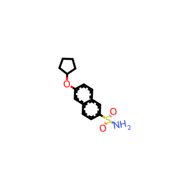 NS(=O)(=O)c1ccc2cc(OC3CCCC3)ccc2c1